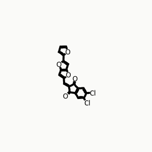 O=C1C(=Cc2cc3oc(-c4ccco4)cc3o2)C(=O)c2cc(Cl)c(Cl)cc21